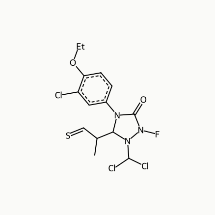 CCOc1ccc(N2C(=O)N(F)N(C(Cl)Cl)C2C(C)C=S)cc1Cl